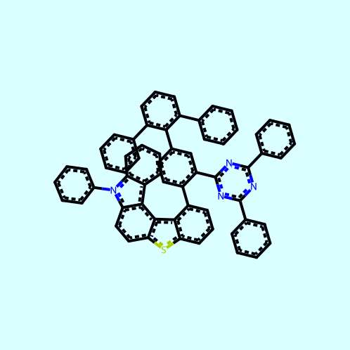 c1ccc(-c2nc(-c3ccccc3)nc(-c3cc(-c4c(-c5ccccc5)cccc4-c4ccccc4)ccc3-c3cccc4sc5ccc6c(c7ccccc7n6-c6ccccc6)c5c34)n2)cc1